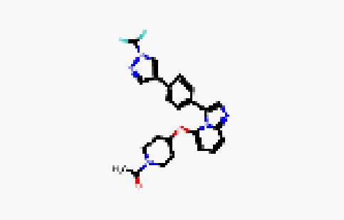 CC(=O)N1CCC(Oc2cccc3ncc(-c4ccc(-c5cnn(C(F)F)c5)cc4)n23)CC1